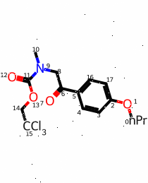 CCCOc1ccc(C(=O)CN(C)C(=O)OCC(Cl)(Cl)Cl)cc1